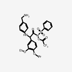 CCOc1cc(C(Nc2ccc(CN)cc2)C(=O)N(OC(=O)C(F)(F)F)S(=O)(=O)c2ccccc2)ccc1OC(C)C